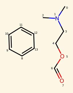 CN(C)CCOC=O.c1ccccc1